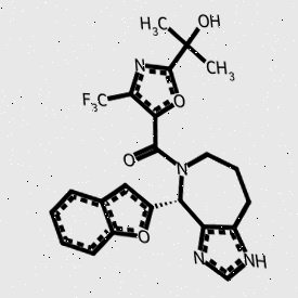 CC(C)(O)c1nc(C(F)(F)F)c(C(=O)N2CCCc3[nH]cnc3[C@@H]2c2cc3ccccc3o2)o1